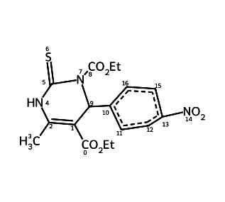 CCOC(=O)C1=C(C)NC(=S)N(C(=O)OCC)C1c1ccc([N+](=O)[O-])cc1